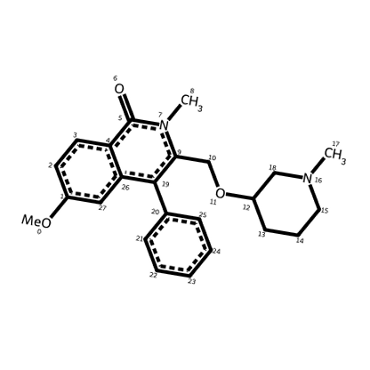 COc1ccc2c(=O)n(C)c(COC3CCCN(C)C3)c(-c3ccccc3)c2c1